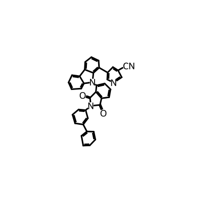 N#Cc1cncc(-c2cccc3c4ccccc4n(-c4cccc5c4C(=O)N(c4cccc(-c6ccccc6)c4)C5=O)c23)c1